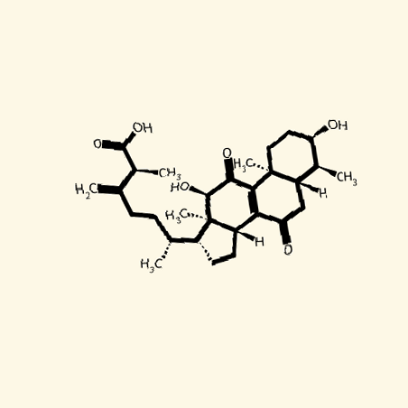 C=C(CC[C@@H](C)[C@H]1CC[C@H]2C3=C(C(=O)[C@H](O)[C@]12C)[C@@]1(C)CC[C@@H](O)[C@@H](C)[C@@H]1CC3=O)[C@H](C)C(=O)O